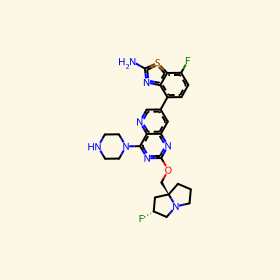 Nc1nc2c(-c3cnc4c(N5CCNCC5)nc(OC[C@@]56CCCN5C[C@H](F)C6)nc4c3)ccc(F)c2s1